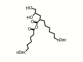 CCCCCCCCCCCCCCCCC(CC(O)CO)C(=O)OC(=O)CCCCCCCCCCCCCCC